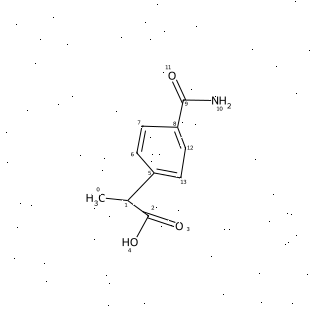 CC(C(=O)O)c1ccc(C(N)=O)cc1